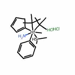 C[SiH](C)[Hf]([CH3])([NH2])([C]1=CC=CC1)([c]1ccccc1)([C](C)(C)C)[C](C)(C)C.Cl.Cl